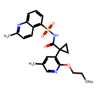 COCCOc1ncc(C)cc1C1(C(=O)NS(=O)(=O)c2cccc3nc(C)ccc23)CC1